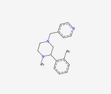 CC(C)c1ccccc1C1CN(Cc2ccncc2)CCN1C(C)C